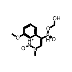 COc1cccc2c1[NH+]([O-])N(C)C=C2[PH](=O)OCO